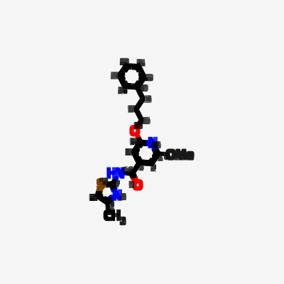 COc1cc(C(=O)Nc2nc(C)cs2)cc(OCCCc2ccccc2)n1